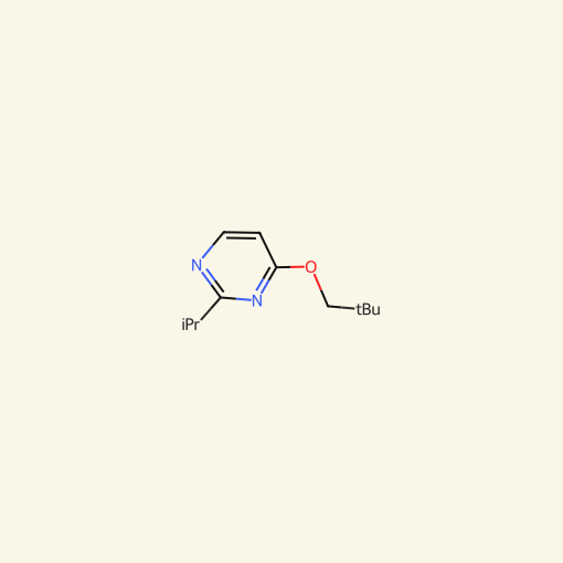 CC(C)c1nccc(OCC(C)(C)C)n1